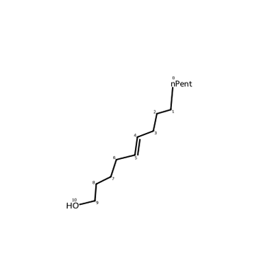 CCCCCCCCC=CCCCCO